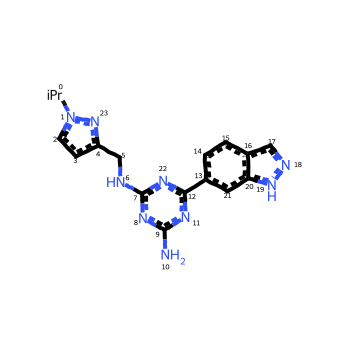 CC(C)n1ccc(CNc2nc(N)nc(-c3ccc4cn[nH]c4c3)n2)n1